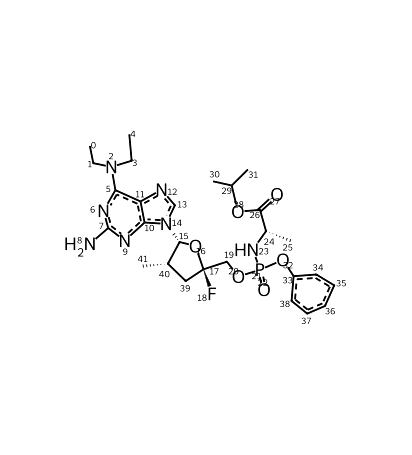 CCN(CC)c1nc(N)nc2c1ncn2[C@@H]1O[C@](F)(COP(=O)(N[C@@H](C)C(=O)OC(C)C)Oc2ccccc2)C[C@@H]1C